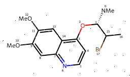 CN[C@@H](Oc1ccnc2cc(OC)c(OC)cc12)C(C)Br